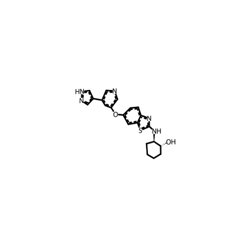 O[C@@H]1CCCC[C@H]1Nc1nc2ccc(Oc3cncc(-c4cn[nH]c4)c3)cc2s1